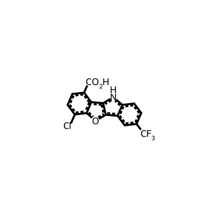 O=C(O)c1ccc(Cl)c2oc3c4cc(C(F)(F)F)ccc4[nH]c3c12